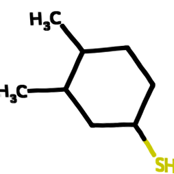 CC1CCC(S)CC1C